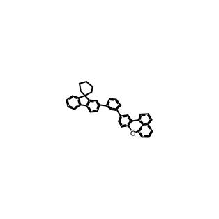 c1cc(-c2ccc3c(c2)-c2cccc4cccc(c24)O3)cc(-c2ccc3c(c2)C2(CCCCC2)c2ccccc2-3)c1